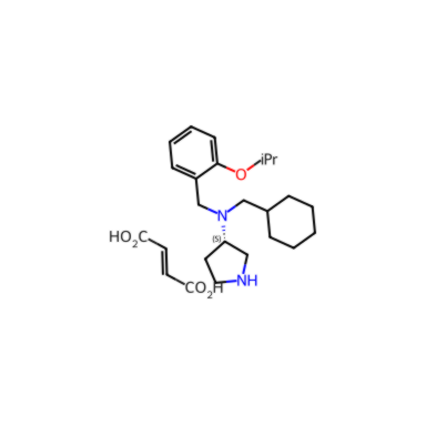 CC(C)Oc1ccccc1CN(CC1CCCCC1)[C@H]1CCNC1.O=C(O)C=CC(=O)O